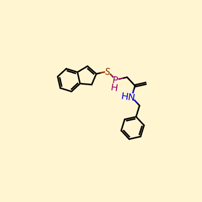 C=C(CPSC1=Cc2ccccc2C1)NCc1ccccc1